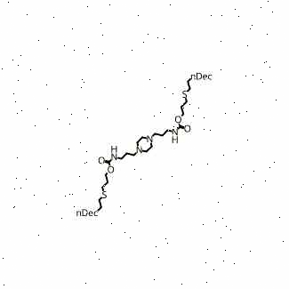 CCCCCCCCCCCCSCCCOC(=O)NCCCN1CCN(CCCNC(=O)OCCCSCCCCCCCCCCCC)CC1